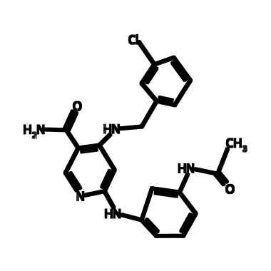 CC(=O)Nc1cccc(Nc2cc(NCc3cccc(Cl)c3)c(C(N)=O)cn2)c1